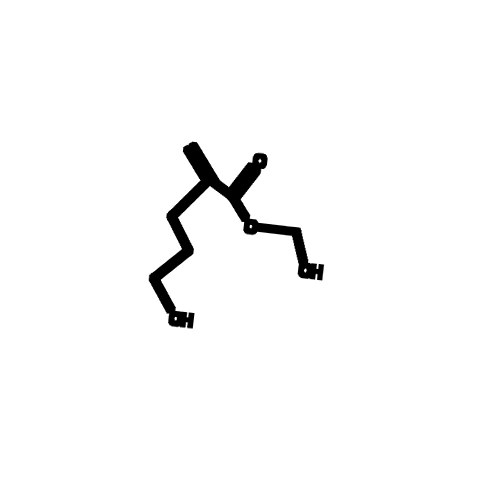 C=C(CCCO)C(=O)OCO